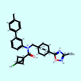 Cc1ccc(-c2cccc(N(CC34CCC(c5nc(C(C)(C)C)no5)(CC3)CC4)C(=O)C34CC(F)(C3)C4)c2)cc1